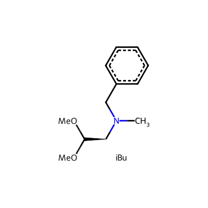 CC[C@H](C)[C@@H](C(OC)OC)N(C)Cc1ccccc1